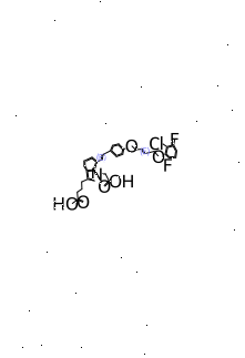 O=C(O)CCCc1cn(CC(=O)O)c2c(/C=C/c3ccc(OC/C=C/COc4c(F)ccc(F)c4Cl)cc3)cccc12